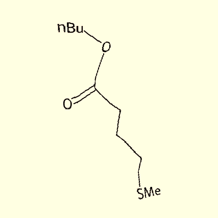 CCCCOC(=O)CCCSC